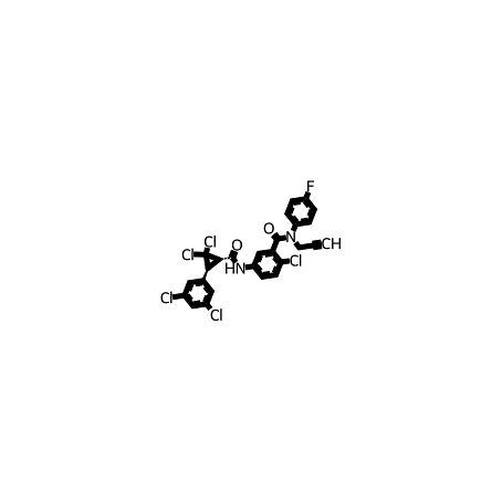 C#CCN(C(=O)c1cc(NC(=O)[C@@H]2[C@@H](c3cc(Cl)cc(Cl)c3)C2(Cl)Cl)ccc1Cl)c1ccc(F)cc1